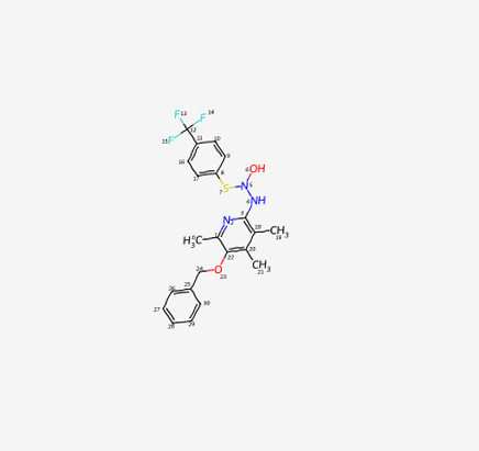 Cc1nc(NN(O)Sc2ccc(C(F)(F)F)cc2)c(C)c(C)c1OCc1ccccc1